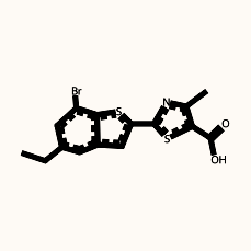 CCc1cc(Br)c2sc(-c3nc(C)c(C(=O)O)s3)cc2c1